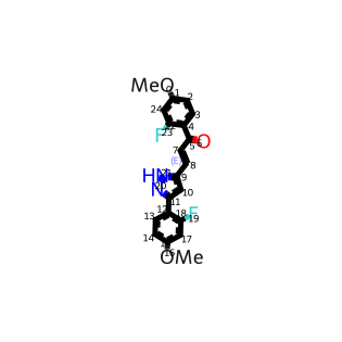 COc1ccc(C(=O)/C=C/c2cc(-c3ccc(OC)cc3F)n[nH]2)c(F)c1